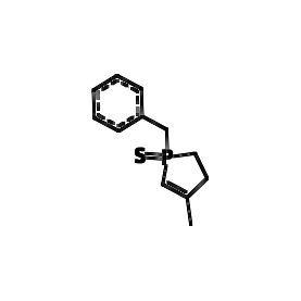 CC1=CP(=S)(Cc2ccccc2)CC1